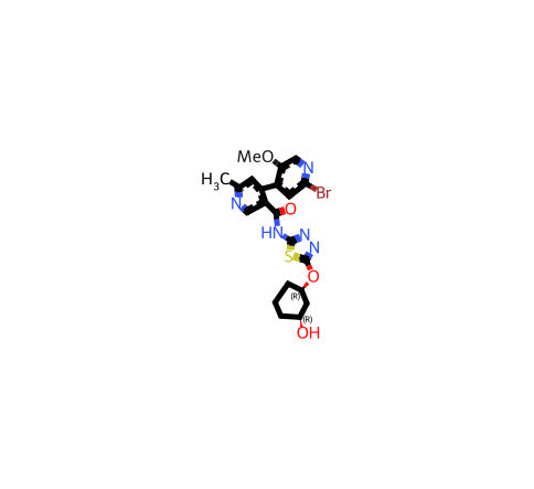 COc1cnc(Br)cc1-c1cc(C)ncc1C(=O)Nc1nnc(O[C@@H]2CCC[C@@H](O)C2)s1